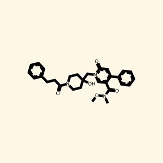 CON(C)C(=O)c1cn(CC2(O)CCN(C(=O)CCc3ccccc3)CC2)c(=O)cc1-c1ccccc1